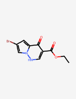 CCOC(=O)c1c[nH]n2cc(Br)cc2c1=O